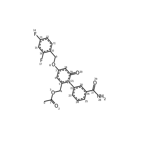 CC(=O)OCc1cc(OCc2ccc(F)cc2F)cc(=O)n1-c1cccc(C(N)=O)c1